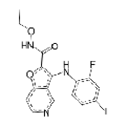 CCONC(=O)c1oc2ccncc2c1Nc1ccc(I)cc1F